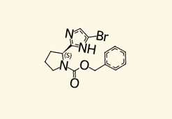 O=C(OCc1ccccc1)N1CCC[C@H]1c1ncc(Br)[nH]1